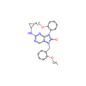 COc1ccccc1Cn1c(=O)n(-c2ccccc2OC)c2nc(NC3CC3)ncc21